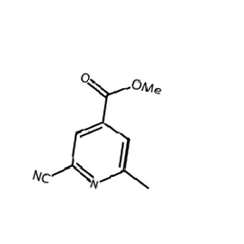 COC(=O)c1cc(C)nc(C#N)c1